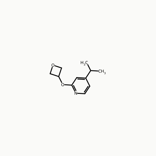 CC(C)c1ccnc(OC2COC2)c1